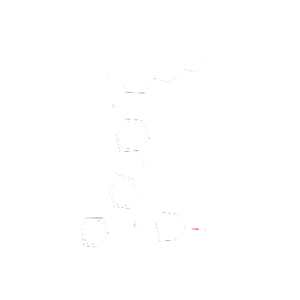 O=CCCCCCC(Nc1ccc(Nc2ncc(-c3cncnc3)c(N[C@H]3CC[C@H](O)CC3)n2)cc1)C(=O)O